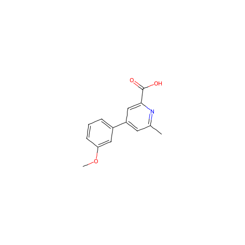 COc1cccc(-c2cc(C)nc(C(=O)O)c2)c1